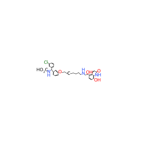 O=C(O)NC(c1cccc(Cl)c1)c1cccc(OCCCCCCCCCNC[C@@H](O)c2ccc(O)c3[nH]c(=O)ccc23)c1